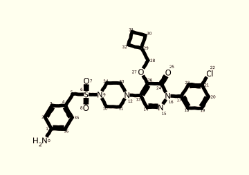 Nc1ccc(CS(=O)(=O)N2CCN(c3cnn(-c4cccc(Cl)c4)c(=O)c3OCC3CCC3)CC2)cc1